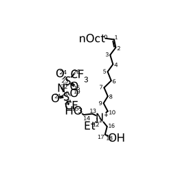 CCCCCCCC/C=C\CCCCCCCC[N+](CC)(CCO)CCO.O=S(=O)([N-]S(=O)(=O)C(F)(F)F)C(F)(F)F